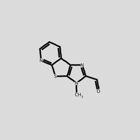 Cn1c(C=O)nc2c3cccnc3sc21